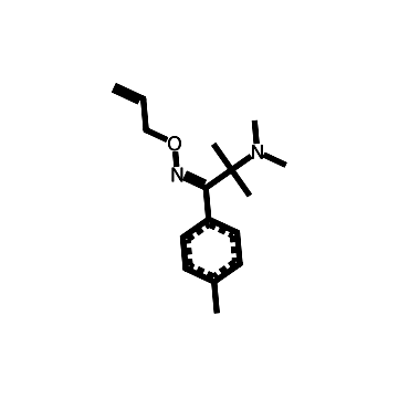 C=CCON=C(c1ccc(C)cc1)C(C)(C)N(C)C